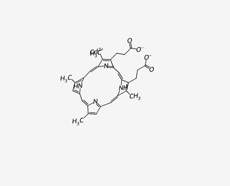 CC1=Cc2cc3[nH]c(cc4nc(cc5[nH]c(cc1n2)cc5C)C(C)=C4CCC(=O)[O-])c(CCC(=O)[O-])c3C.[Cd+2]